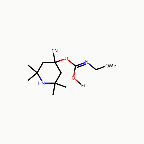 CCOC(=NCOC)OC1(C#N)CC(C)(C)NC(C)(C)C1